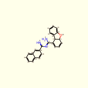 N=C(/N=C(\N)C1=CC=CC2Oc3ccccc3C12)c1ccc2ccccc2c1